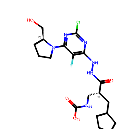 O=C(O)NC[C@@H](CC1CCCC1)C(=O)NNc1nc(Cl)nc(N2CCC[C@H]2CO)c1F